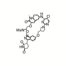 CNC(=O)COc1cc2cc(Nc3nc(N4CCC(COc5ccc6c(C7CCC(=O)NC7=O)nn(C)c6c5)C4)ncc3Cl)ccc2n(C)c1=O